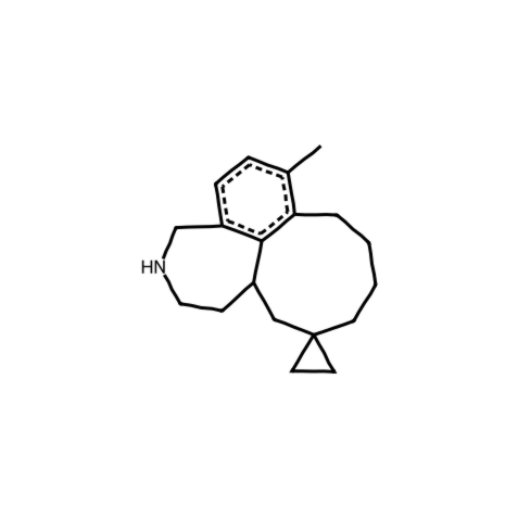 Cc1ccc2c3c1CCCCC1(CC1)CC3CCNC2